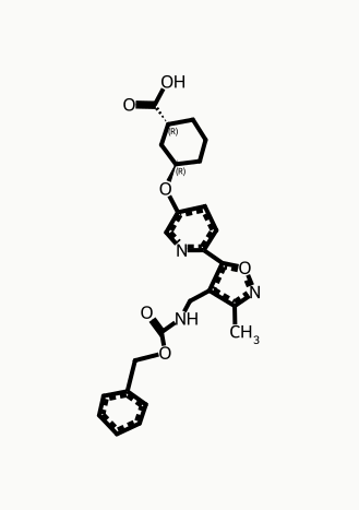 Cc1noc(-c2ccc(O[C@@H]3CCC[C@@H](C(=O)O)C3)cn2)c1CNC(=O)OCc1ccccc1